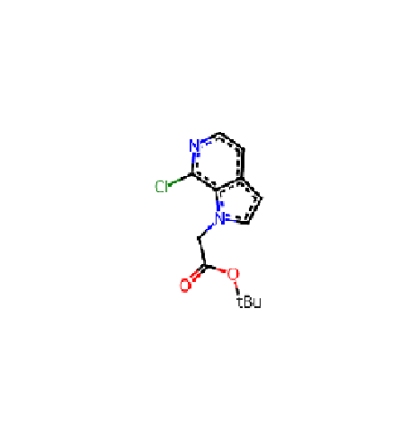 CC(C)(C)OC(=O)Cn1ccc2ccnc(Cl)c21